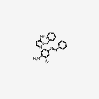 Nc1ccc(N=Nc2ccccc2)cc1Br.Nc1ccnn1Cc1ccccc1